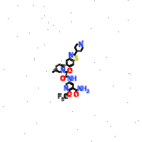 C[C@H]1CC[C@H](c2ccc3sc(C4CCN(C)CC4)nc3c2)N(C(=O)C(=O)Nc2cnc(OC(F)(F)F)c(C(N)=O)c2)C1